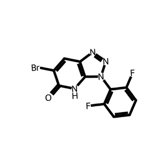 O=c1[nH]c2c(cc1Br)nnn2-c1c(F)cccc1F